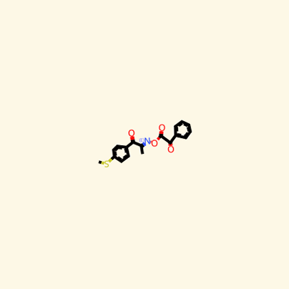 CSc1ccc(C(=O)/C(C)=N/OC(=O)C(=O)c2ccccc2)cc1